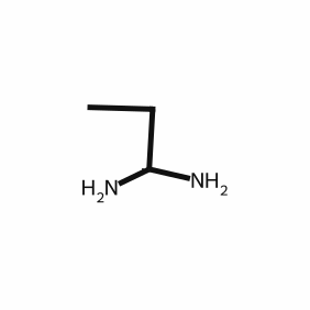 CC[C](N)N